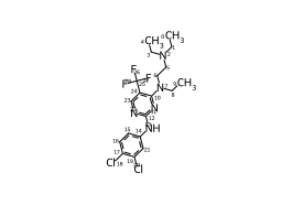 CCN(CC)CCN(CC)c1nc(Nc2ccc(Cl)c(Cl)c2)ncc1C(F)(F)F